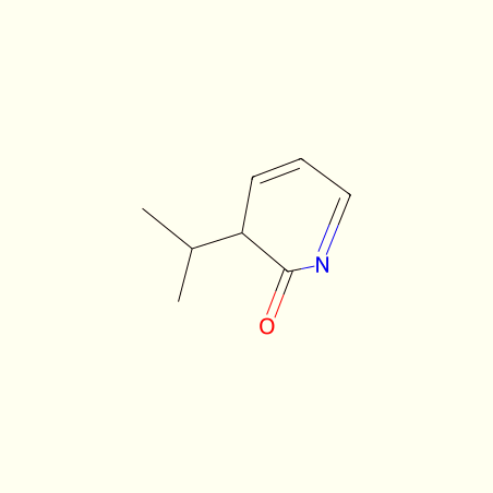 CC(C)C1C=CC=NC1=O